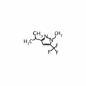 CCn1nc(C(C)C)cc1C(F)(F)F